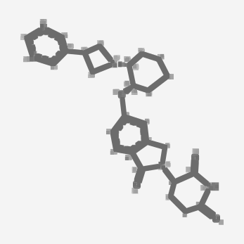 O=C1CCC(N2Cc3cc(O[C@@H]4CCCC[C@H]4N4CC(c5cncnc5)C4)ccc3C2=O)C(=O)N1